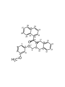 COc1cccc(OCC2Cc3ccccc3CN2C(=O)c2cccc3ccccc23)c1